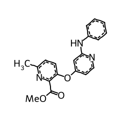 COC(=O)c1nc(C)ccc1Oc1ccnc(Nc2ccccc2)c1